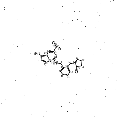 CC(C)c1cnn2c(NCc3ccccc3CN3CCCC3=O)nc([S+](C)[O-])nc12